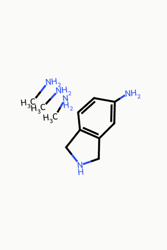 CN.CN.CN.Nc1ccc2c(c1)CNC2